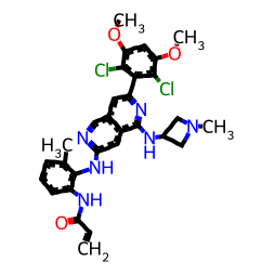 C=CC(=O)Nc1cccc(C)c1Nc1cc2c(NC3CN(C)C3)nc(-c3c(Cl)c(OC)cc(OC)c3Cl)cc2cn1